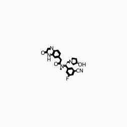 CN(C(=O)Cc1ccc2ncc(=O)[nH]c2c1)[C@H](CN1CC[C@H](O)C1)c1cc(F)cc(C#N)c1